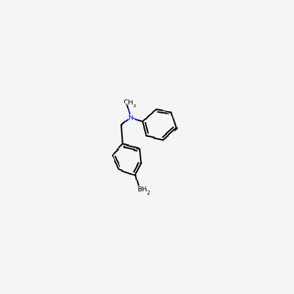 Bc1ccc(CN(C)c2ccccc2)cc1